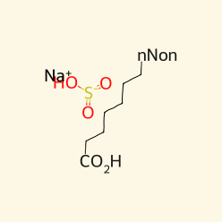 CCCCCCCCCCCCCCCC(=O)O.O=[S-](=O)O.[Na+]